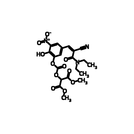 CCN(CC)C(=O)C(C#N)=Cc1cc(OC(=O)OC(C(=O)OC)C(=O)OC)c(O)c([N+](=O)[O-])c1